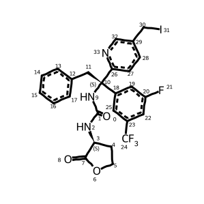 O=C(N[C@H]1CCOC1=O)N[C@@](Cc1ccccc1)(c1cc(F)cc(C(F)(F)F)c1)c1ccc(CI)cn1